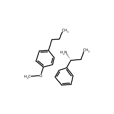 CCCc1ccc(OC)cc1.CC[C@@H](N)c1ccccc1